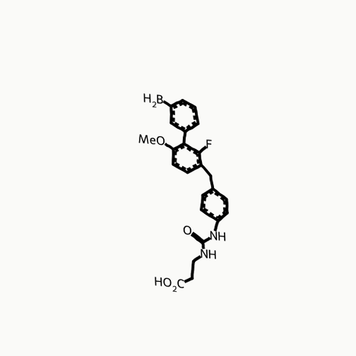 Bc1cccc(-c2c(OC)ccc(Cc3ccc(NC(=O)NCCC(=O)O)cc3)c2F)c1